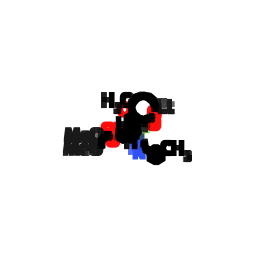 CC[C@H]1CCCC[C@@H](C)C(=O)C2=CC3[C@@H](C(F)C(n4cc(-c5cccc(C)c5)nn4)[C@@H]4C[C@@H](OC(O)[C@H](COC)OC)C[C@@H]34)[C@@H]2CC(=O)O1